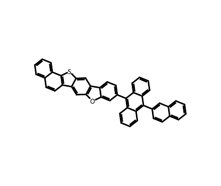 c1ccc2cc(-c3c4ccccc4c(-c4ccc5c(c4)oc4cc6c(cc45)sc4c5ccccc5ccc64)c4ccccc34)ccc2c1